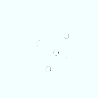 C1OC2OCC1CO2